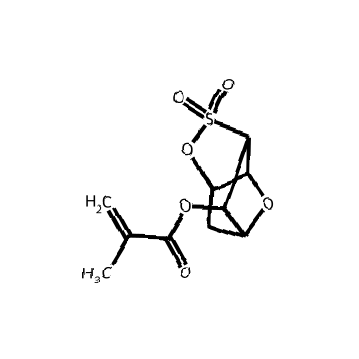 C=C(C)C(=O)OC1C2CC3OS(=O)(=O)C1C3O2